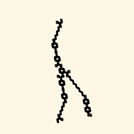 C=CC(=O)OCCCCCCOc1ccc(C#Cc2ccc(C(=O)Oc3ccc(OC(=O)c4ccc(C#Cc5ccc(OCCCCCCOC(=O)C=C)cc5)cc4)c(C(=O)OCCCCCCCCCCOc4ccc(-c5ccc(C#N)cc5)cc4)c3)cc2)cc1